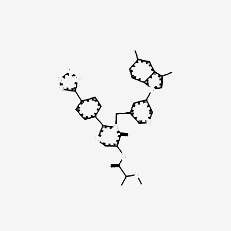 CNC(C)C(=O)Nc1cnc(-c2ccc(-c3nnn[nH]3)cc2)n(Cc2cncc(-n3cc(C)c4cc(F)ccc43)c2)c1=O